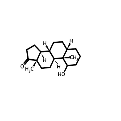 C[C@]12C(O)CCC[C@H]1CC[C@@H]1[C@@H]2CC[C@]2(C)C(=O)CC[C@@H]12